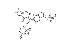 COc1c(-c2ccc3c(c2)CC=C3CNS(C)(=O)=O)cc(-n2ccc(=O)[nH]c2=O)cc1-c1cccs1